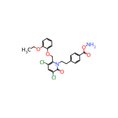 CCOc1ccccc1OCc1c(Cl)cc(Cl)c(=O)n1CCc1ccc(C(=O)ON)cc1